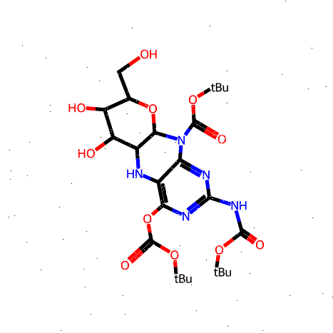 CC(C)(C)OC(=O)Nc1nc(OC(=O)OC(C)(C)C)c2c(n1)N(C(=O)OC(C)(C)C)C1OC(CO)C(O)C(O)C1N2